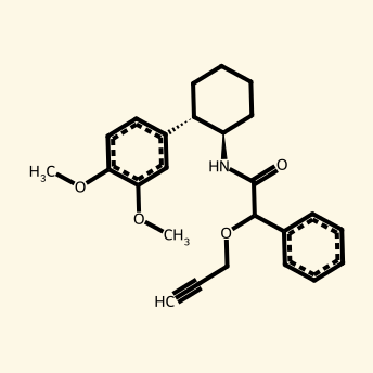 C#CCOC(C(=O)N[C@@H]1CCCC[C@H]1c1ccc(OC)c(OC)c1)c1ccccc1